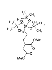 COC(=O)CC(CCC[Si](O[Si](C)(C)C)(O[Si](C)(C)C)O[Si](C)(C)C)C(=O)OC